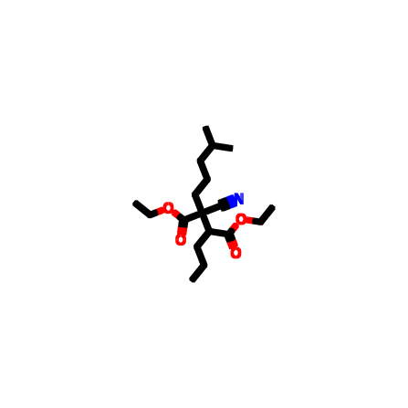 CCCC(C(=O)OCC)C(C#N)(CCCC(C)C)C(=O)OCC